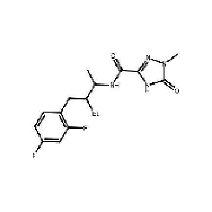 CCC(Cc1ccc(F)cc1F)C(C)NC(=O)c1nn(C)c(=O)[nH]1